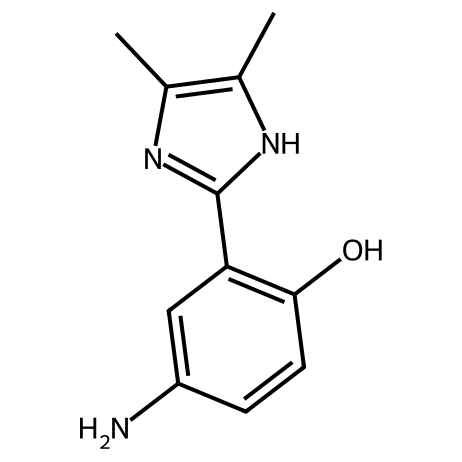 Cc1nc(-c2cc(N)ccc2O)[nH]c1C